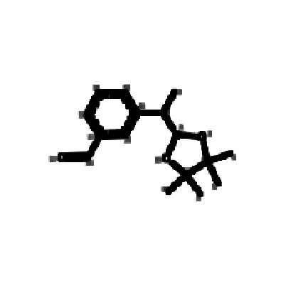 CC(B1OC(C)(C)C(C)(C)O1)c1cccc(C=O)c1